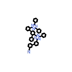 N#Cc1cccc(-c2cccc(-c3nc(-c4ccccc4)nc(-c4ccc(-c5ccccc5-c5nc(-c6ccccc6)nc(-c6ccccc6)n5)cc4-c4ccccc4)n3)c2)c1